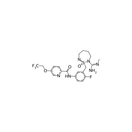 C/N=C(/N)N1CCCCN=S1(=O)Cc1cc(NC(=O)c2ccc(OCC(F)(F)F)cn2)ccc1F